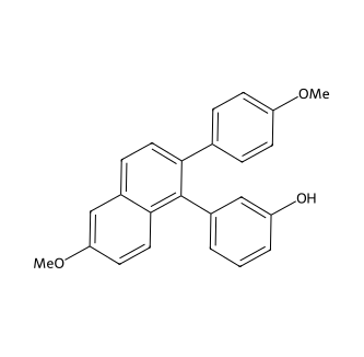 COc1ccc(-c2ccc3cc(OC)ccc3c2-c2cccc(O)c2)cc1